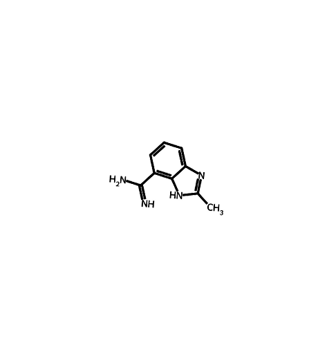 Cc1nc2cccc(C(=N)N)c2[nH]1